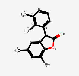 Cc1cc2c(c(C(C)(C)C)c1)OC(=O)C2c1cccc(C)c1C